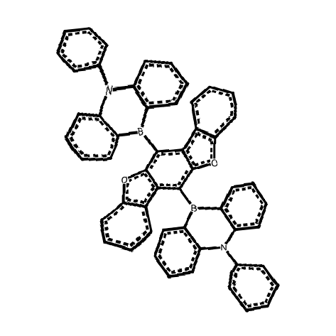 c1ccc(N2c3ccccc3B(c3c4oc5ccccc5c4c(B4c5ccccc5N(c5ccccc5)c5ccccc54)c4oc5ccccc5c34)c3ccccc32)cc1